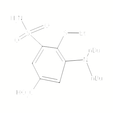 CCCCN(CCCC)c1cc(C(=O)O)cc(S(N)(=O)=O)c1SCC